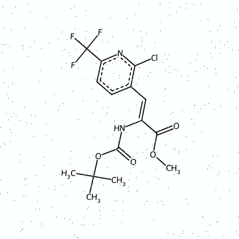 COC(=O)C(=Cc1ccc(C(F)(F)F)nc1Cl)NC(=O)OC(C)(C)C